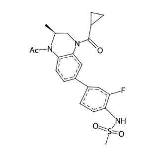 CC(=O)N1c2ccc(-c3ccc(NS(C)(=O)=O)c(F)c3)cc2N(C(=O)C2CC2)C[C@@H]1C